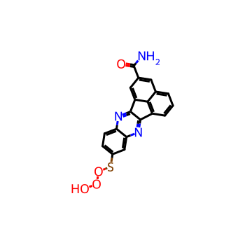 NC(=O)c1cc2c3c(cccc3c1)-c1nc3cc(SOOO)ccc3nc1-2